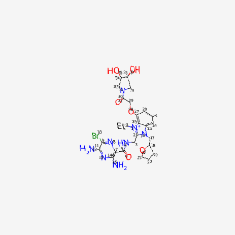 CC[n+]1c(CNC(=O)c2nc(Br)c(N)nc2N)n(CC2CCCO2)c2cccc(OCC(=O)N3CC(O)[C@@H](O)C3)c21